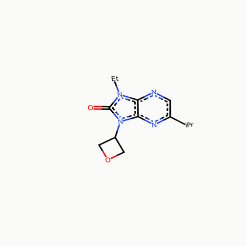 CCn1c(=O)n(C2COC2)c2nc(C(C)C)cnc21